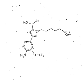 CCC(O)c1nc(-c2cnc(N)c(OC(F)(F)F)c2)cn1CCCCCC12CC(C1)C2